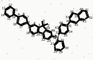 CC1(C)c2cc(-c3ccc(-c4ccccc4)cc3)ccc2-c2ccc(N(c3ccccc3)c3ccc(-c4ccc5ccccc5c4)cc3)cc21